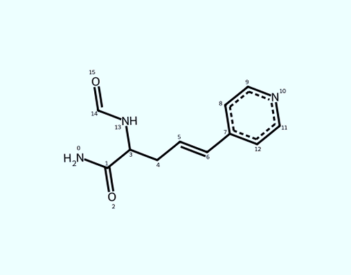 NC(=O)C(CC=Cc1ccncc1)NC=O